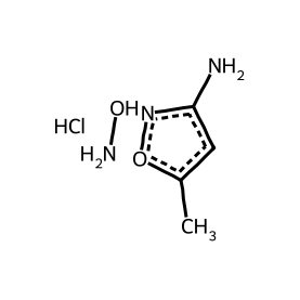 Cc1cc(N)no1.Cl.NO